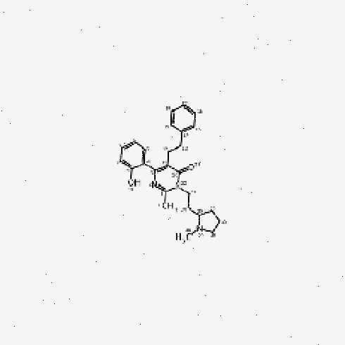 Cc1nc(-c2ccccc2O)c(CCc2ccccc2)c(=O)n1CCC1CCCN1C